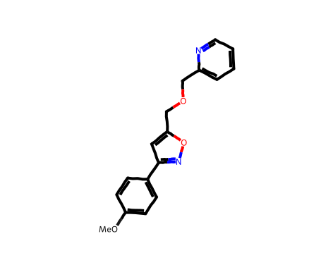 COc1ccc(-c2cc(COCc3ccccn3)on2)cc1